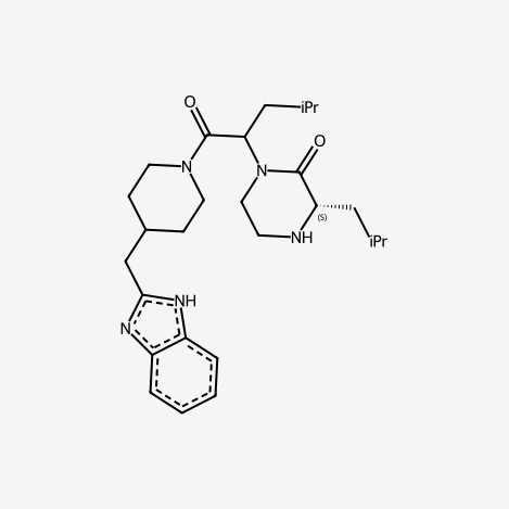 CC(C)CC(C(=O)N1CCC(Cc2nc3ccccc3[nH]2)CC1)N1CCN[C@@H](CC(C)C)C1=O